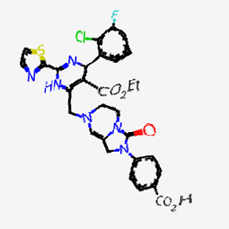 CCOC(=O)C1=C(CN2C=C3CN(c4ccc(C(=O)O)cc4)C(=O)N3CC2)NC(c2nccs2)=NC1c1cccc(F)c1Cl